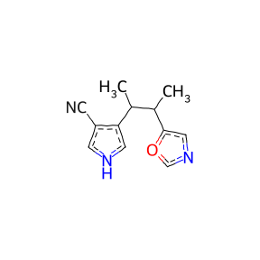 CC(c1cnco1)C(C)c1c[nH]cc1C#N